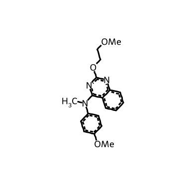 COCCOc1nc(N(C)c2ccc(OC)cc2)c2ccccc2n1